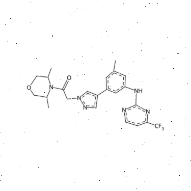 Cc1cc(Nc2nccc(C(F)(F)F)n2)cc(-c2cnn(CC(=O)N3C(C)COCC3C)c2)c1